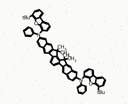 CC(C)(C)c1cccc2c1oc1c(N(c3ccccc3)c3ccc4cc5c(cc4c3)C(C)(C)c3c-5ccc4c3C(C)(C)c3cc5cc(N(c6ccccc6)c6cccc7c6oc6c(C(C)(C)C)cccc67)ccc5cc3-4)cccc12